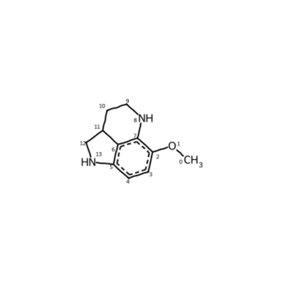 COc1ccc2c3c1NCCC3CN2